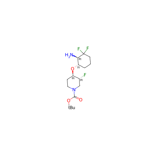 CC(C)(C)OC(=O)N1CC[C@@H](O[C@H]2CCCC(F)(F)[C@@H]2N)[C@H](F)C1